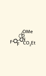 CCOC(=O)c1cc(-c2ccc(F)cc2F)c2c(n1)OC(COC)CC2